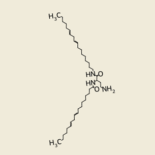 CCCCCC=CCC=CCCCCCCCCNC(=O)C(CCN)NC(=O)CCCCCCCC=CCC=CCCCCC